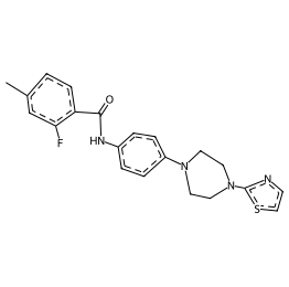 Cc1ccc(C(=O)Nc2ccc(N3CCN(c4nccs4)CC3)cc2)c(F)c1